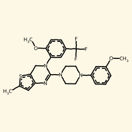 COc1cccc(N2CCN(C3=Nc4cc(C)sc4CN3c3cc(C(F)(F)F)ccc3OC)CC2)c1